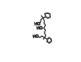 CC(CCO)(CCCC(O)CCCC(C)(CCO)c1ccccc1)c1ccccc1